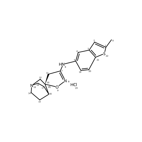 Cc1cc2cc(NC3=NO[C@@]4(C3)CN3CCC4CC3)ccc2s1.Cl